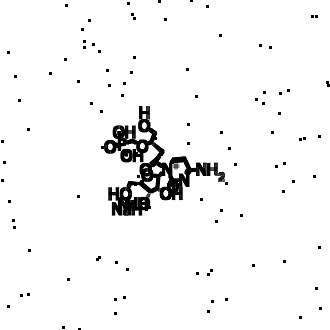 NC1=NC(=O)[N+](C(=O)C[C@H](CO)OCP(=O)(O)O)([C@@H]2O[C@H](CO)[C@@H](O)[C@H]2O)C=C1.[NaH].[NaH]